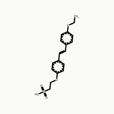 CCOc1ccc(/C=C/c2ccc(OCCS(=O)(=O)O)cc2)cc1